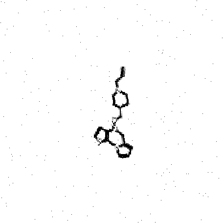 C=CCN1CCC(CON2Cc3cccn3-c3sccc32)CC1